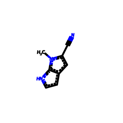 Cn1c(C#N)cc2cc[nH]c21